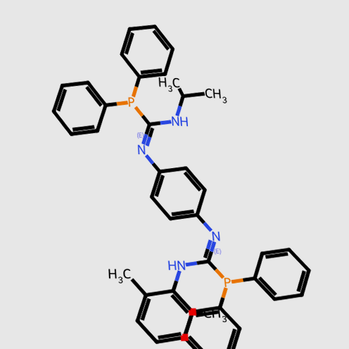 Cc1cccc(C)c1N/C(=N\c1ccc(/N=C(\NC(C)C)P(c2ccccc2)c2ccccc2)cc1)P(c1ccccc1)c1ccccc1